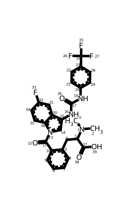 CN(C)C(Cc1ccccc1C(=O)n1cc(NC(=O)Nc2ccc(C(F)(F)F)cc2)c2cc(F)ccc21)C(=O)O